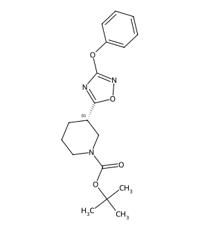 CC(C)(C)OC(=O)N1CCC[C@H](c2nc(Oc3ccccc3)no2)C1